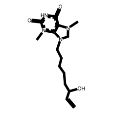 C=CC(O)CCCCCN1CN(C)c2c1n(C)c(=O)[nH]c2=O